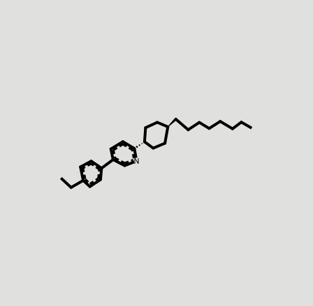 CCCCCCCC[C@H]1CC[C@H](c2ccc(-c3ccc(CC)cc3)cn2)CC1